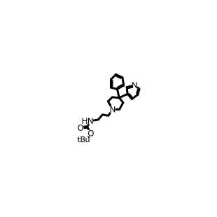 CC(C)(C)OC(=O)NCCCN1CCC(c2ccccc2)(c2cccnc2)CC1